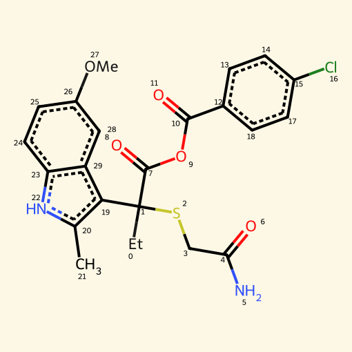 CCC(SCC(N)=O)(C(=O)OC(=O)c1ccc(Cl)cc1)c1c(C)[nH]c2ccc(OC)cc12